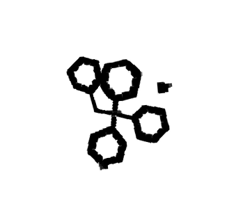 [Br-].c1ccc(C[P+](c2ccccc2)(c2ccccc2)c2ccncc2)cc1